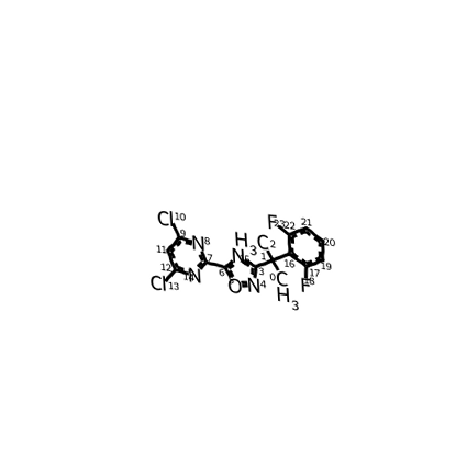 CC(C)(c1noc(-c2nc(Cl)cc(Cl)n2)n1)c1c(F)cccc1F